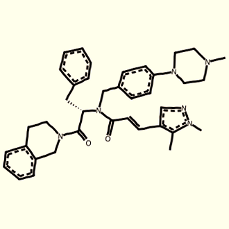 Cc1c(C=CC(=O)N(Cc2ccc(N3CCN(C)CC3)cc2)[C@@H](Cc2ccccc2)C(=O)N2CCc3ccccc3C2)cnn1C